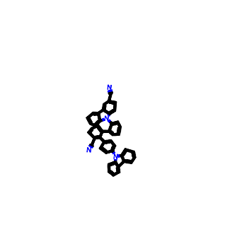 N#Cc1ccc2c(c1)c1ccccc1n2-c1ccccc1-c1cccc(C#N)c1-c1ccc(-n2c3ccccc3c3ccccc32)cc1